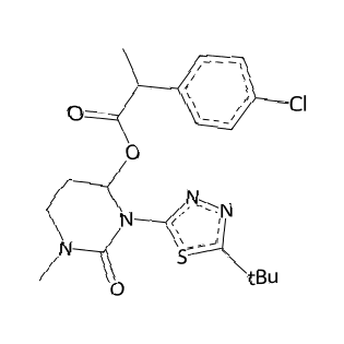 CC(C(=O)OC1CCN(C)C(=O)N1c1nnc(C(C)(C)C)s1)c1ccc(Cl)cc1